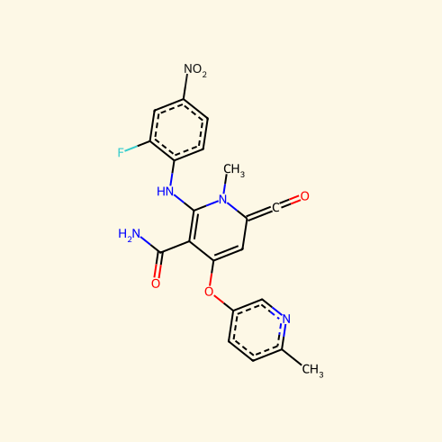 Cc1ccc(OC2=CC(=C=O)N(C)C(Nc3ccc([N+](=O)[O-])cc3F)=C2C(N)=O)cn1